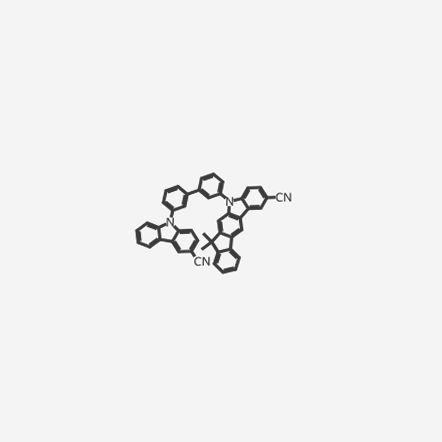 CC1(C)c2ccccc2-c2cc3c4cc(C#N)ccc4n(-c4cccc(-c5cccc(-n6c7ccccc7c7cc(C#N)ccc76)c5)c4)c3cc21